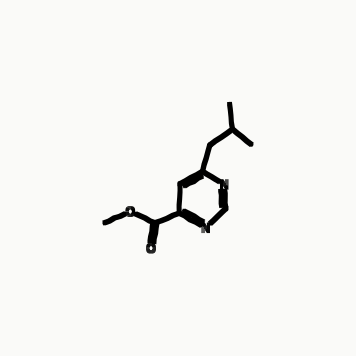 COC(=O)c1cc(CC(C)C)ncn1